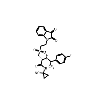 N#CC1(NC(=O)[C@H](CS(=O)(=O)CCN2C(=O)C(=O)c3ccccc32)N[C@@H](c2ccc(F)cc2)C(F)(F)F)CC1